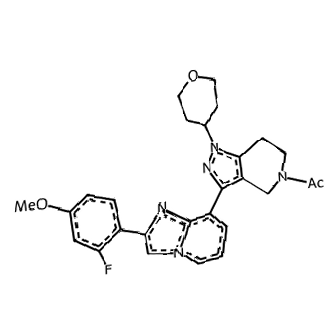 COc1ccc(-c2cn3cccc(-c4nn(C5CCOCC5)c5c4CN(C(C)=O)CC5)c3n2)c(F)c1